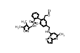 CCOCc1cc(CNc2cc(C)nc3ccnn23)ccc1-c1ccccc1S(=O)(=O)Nc1noc(C)c1C